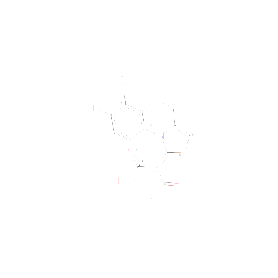 O=C(O)C(C(=O)O)=C1SC=C2COc3c(ccc(F)c3F)N21